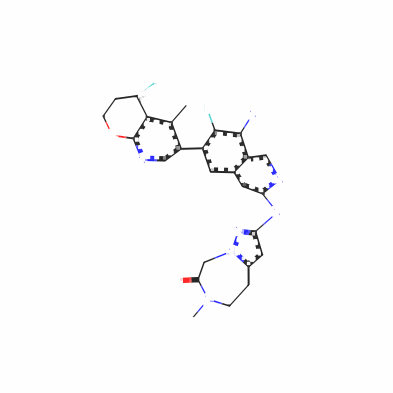 Cc1c(-c2cc3cc(Nc4cc5n(n4)CC(=O)N(C)CC5)ncc3c(N)c2F)cnc2c1[C@H](F)CCO2